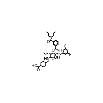 CCC[C@H](C[C@H](O)[C@H](Cc1cc(F)cc(F)c1)NC(=O)c1cccc(C(=O)N(CCC)CCC)c1)C(=O)NCC1CCC(C(=O)O)CC1